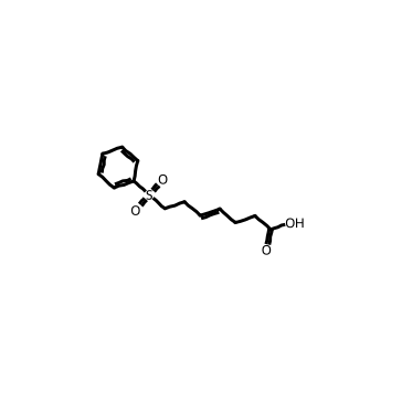 O=C(O)CC/C=C/CCS(=O)(=O)c1ccccc1